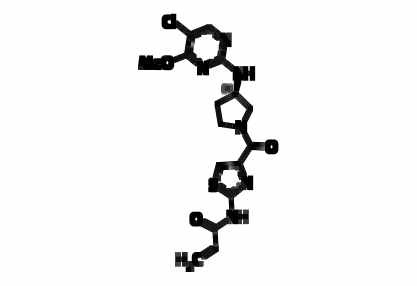 C=CC(=O)Nc1nc(C(=O)N2CC[C@@H](Nc3ncc(Cl)c(OC)n3)C2)cs1